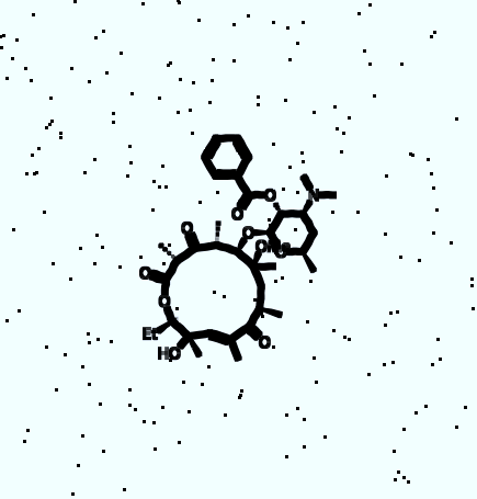 CC[C@H]1OC(=O)[C@H](C)C(=O)[C@H](C)[C@@H](O[C@@H]2O[C@H](C)C[C@H](N(C)C)[C@H]2OC(=O)c2ccccc2)[C@@](C)(OC)C[C@@H](C)C(=O)/C(C)=C/[C@]1(C)O